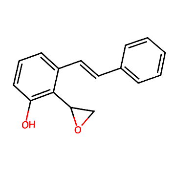 Oc1cccc(C=Cc2ccccc2)c1C1CO1